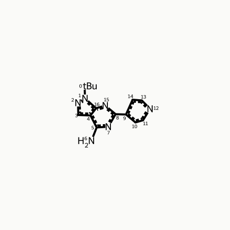 CC(C)(C)n1ncc2c(N)nc(-c3ccncc3)nc21